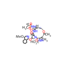 COc1cnc(O[C@@H]2C[C@H]3C(=O)N[C@]4(C(=O)NS(=O)(=O)C5(C)CC5)C[C@H]4/C=C\CO[C@@H](C)C[C@@H](C)[C@H](NC(=O)O)C(=O)N3C2)c2ccccc12